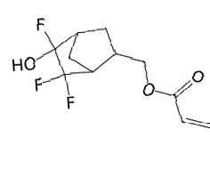 C=CC(=O)OCC1CC2CC1C(F)(F)C2(O)F